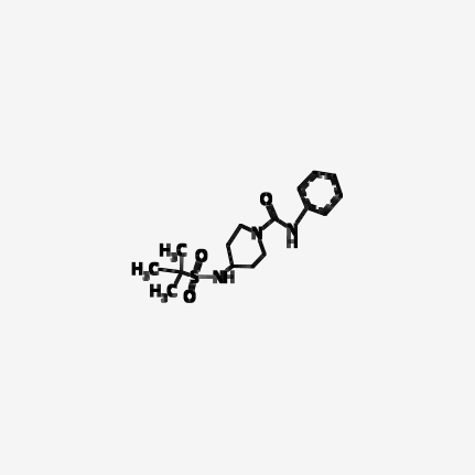 CC(C)(C)S(=O)(=O)NC1CCN(C(=O)Nc2ccccc2)CC1